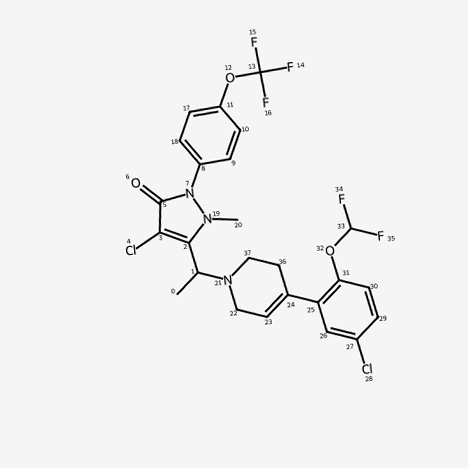 CC(c1c(Cl)c(=O)n(-c2ccc(OC(F)(F)F)cc2)n1C)N1CC=C(c2cc(Cl)ccc2OC(F)F)CC1